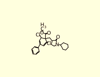 COC(=O)C1(CC2CCN(C3CCCCC3)C2=O)C(Cl)=CC(c2ccccc2)=CC1Cl